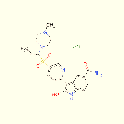 C=CC(N1CCN(C)CC1)S(=O)(=O)c1ccc(-c2c(O)[nH]c3ccc(C(N)=O)cc23)nc1.Cl